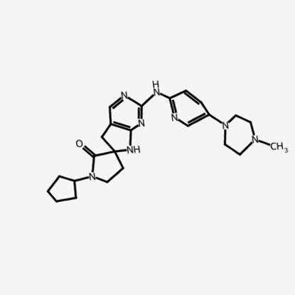 CN1CCN(c2ccc(Nc3ncc4c(n3)NC3(CCN(C5CCCC5)C3=O)C4)nc2)CC1